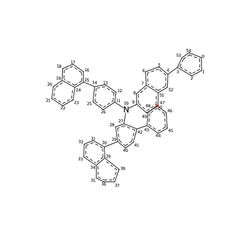 c1ccc(-c2ccc3cc(N(c4ccc(-c5cccc6ccccc56)cc4)c4cc(-c5cccc6ccccc56)ccc4-c4ccccc4)ccc3c2)cc1